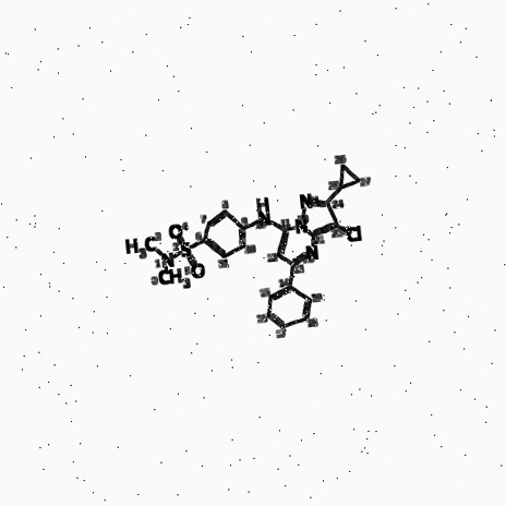 CN(C)S(=O)(=O)c1ccc(Nc2cc(-c3ccccc3)nc3c(Cl)c(C4CC4)nn23)cc1